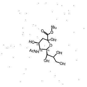 CC(=O)N[C@@H]1[C@@H](O)CC(O)(C(=O)OC(C)(C)C)O[C@H]1C(O)C(O)CO